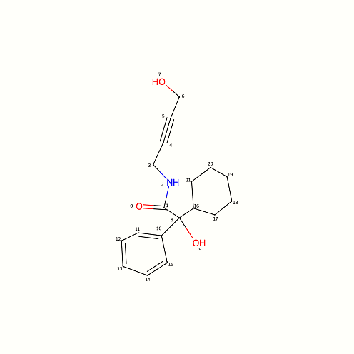 O=C(NCC#CCO)C(O)(c1ccccc1)C1CCCCC1